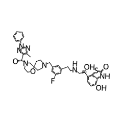 Cc1nn(-c2ccccc2)nc1C(=O)N1CCOC2(CCN(Cc3cc(F)cc(CCNC[C@H](O)c4ccc(O)c5[nH]c(=O)sc45)c3)CC2)C1